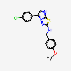 COc1ccc(CNc2nn3c(-c4ccc(Cl)cc4)cnc3s2)cc1